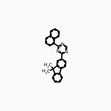 CC1(C)c2ccccc2-c2ccc(-c3ncnc(-c4cccc5ccccc45)n3)cc21